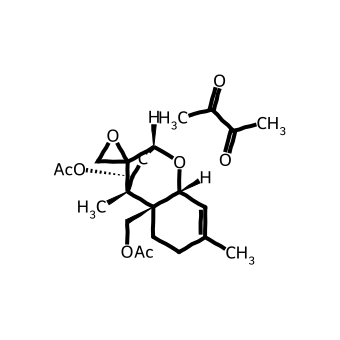 CC(=O)C(C)=O.CC(=O)OC[C@]12CCC(C)=C[C@H]1O[C@@H]1C[C@@H](OC(C)=O)[C@@]2(C)C12CO2